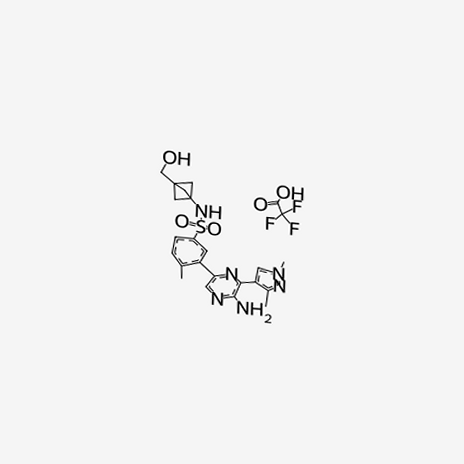 Cc1ccc(S(=O)(=O)NC23CC(CO)(C2)C3)cc1-c1cnc(N)c(-c2cn(C)nc2C)n1.O=C(O)C(F)(F)F